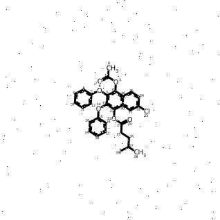 CC(=O)Oc1c(Oc2ccccc2)c(Oc2ccccc2)c(OC(=O)CCC(C)I)c2cc(Cl)ccc12